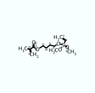 C=C[Si](OC)(OC)OCCCCOC(=O)C(=C)C